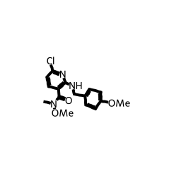 COc1ccc(CNc2nc(Cl)ccc2C(=O)N(C)OC)cc1